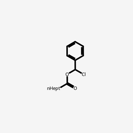 CCCCCCCC(=O)OC(Cl)c1ccccc1